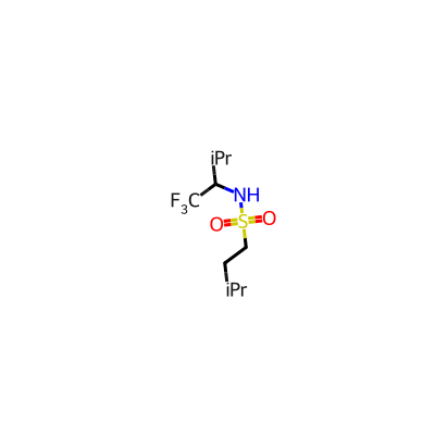 CC(C)CCS(=O)(=O)NC(C(C)C)C(F)(F)F